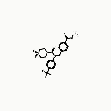 COC(=O)c1ccc(CN(C(=O)N2CCS(=O)(=O)CC2)c2ccc(C(F)(F)F)cc2)cc1